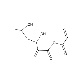 C=CC(=O)OC(=O)C(=C)C(O)CC(C)O